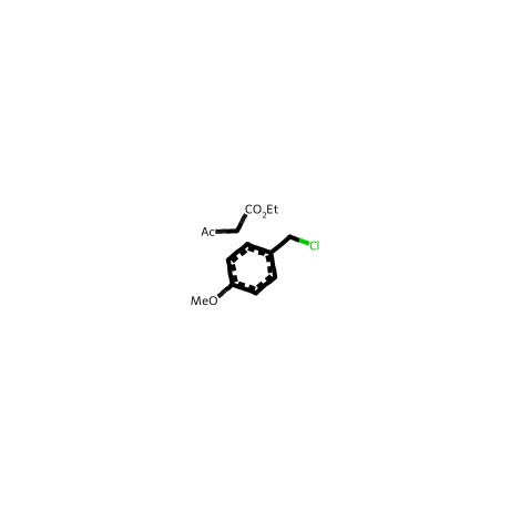 CCOC(=O)CC(C)=O.COc1ccc(CCl)cc1